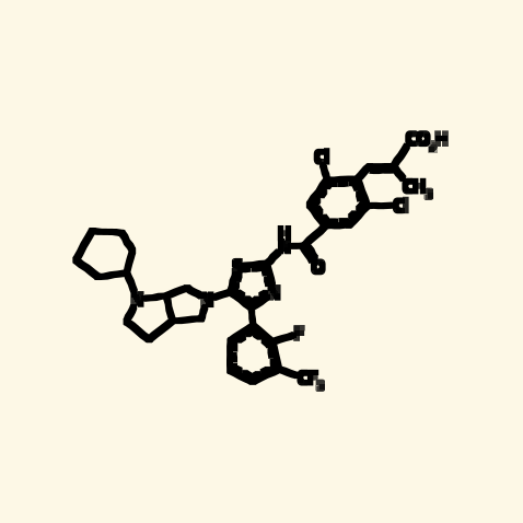 CC(=Cc1c(Cl)cc(C(=O)Nc2nc(-c3cccc(C(F)(F)F)c3F)c(N3CC4CCN(C5CCCCC5)C4C3)s2)cc1Cl)C(=O)O